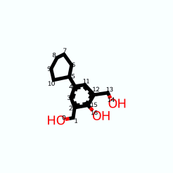 OCc1cc(C2CCCCC2)cc(CO)c1O